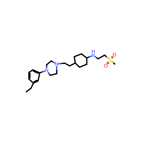 CCc1cccc(N2CCN(CCC3CCC(NCCS(C)(=O)=O)CC3)CC2)c1